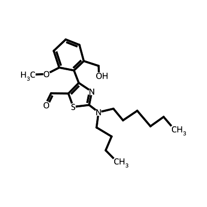 CCCCCCN(CCCC)c1nc(-c2c(CO)cccc2OC)c(C=O)s1